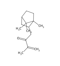 C=C(C)C(=O)CC1CC2CCC1(C)C2(C)C